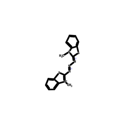 Cn1/c(=N\N=N\c2sc3ccccc3[n+]2C)sc2ccccc21